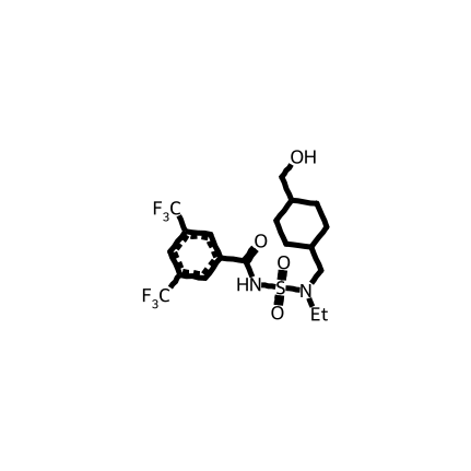 CCN(CC1CCC(CO)CC1)S(=O)(=O)NC(=O)c1cc(C(F)(F)F)cc(C(F)(F)F)c1